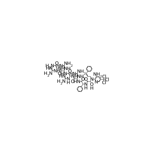 N=C(N)NC(NC(=O)C(NC(=N)N)NC(=O)C(NC(=N)N)NC(=O)C(NC(=N)N)NC(=O)C(NC(=O)C(O)N(C/C=C\c1ccccc1)c1ncc(C(Cl)(Cl)Cl)cc1N)c1ccccc1)C(N)=O